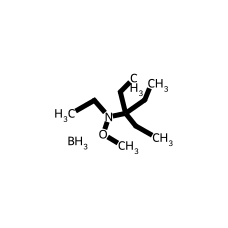 B.CCN(OC)C(CC)(CC)CC